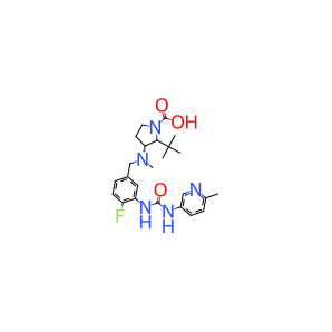 Cc1ccc(NC(=O)Nc2cc(CN(C)[C@H]3CCN(C(=O)O)C3C(C)(C)C)ccc2F)cn1